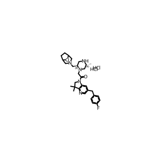 C[C@@H]1CN(CC(=O)N2CC(C)(C)c3ncc(Cc4ccc(F)cc4)cc32)[C@@H](CN2CC3CCC(C2)O3)CN1.Cl.Cl